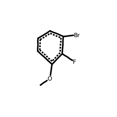 COc1cccc(Br)c1F